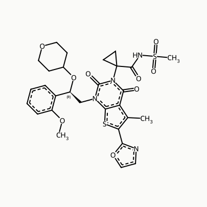 COc1ccccc1[C@H](Cn1c(=O)n(C2(C(=O)NS(C)(=O)=O)CC2)c(=O)c2c(C)c(-c3ncco3)sc21)OC1CCOCC1